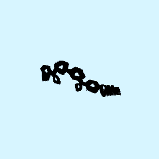 COc1ccc(C(=O)c2cccc(-c3cccc(C(=O)c4ccccc4)c3)c2)cc1